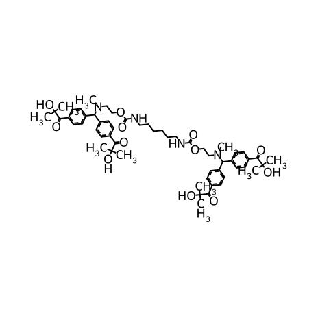 CN(CCOC(=O)NCCCCCCNC(=O)OCCN(C)C(c1ccc(C(=O)C(C)(C)O)cc1)c1ccc(C(=O)C(C)(C)O)cc1)C(c1ccc(C(=O)C(C)(C)O)cc1)c1ccc(C(=O)C(C)(C)O)cc1